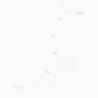 COC(=O)N1CCCN(CCN2CCn3c(c(C4CCCCC4)c4ccc(C(=O)O)cc43)-c3ccccc32)CC1